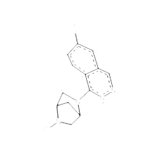 CC(C)N1CC2CC1CN2c1nncc2cc(Br)ccc12